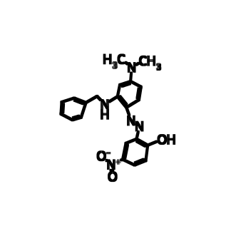 CN(C)c1ccc(N=Nc2cc([N+](=O)[O-])ccc2O)c(NCc2ccccc2)c1